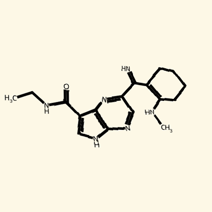 CCNC(=O)c1c[nH]c2ncc(C(=N)C3=C(NC)CCCC3)nc12